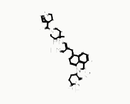 CC1(N/C=C(\C=N)Cc2ccc3c4c(cccc24)C(=O)N3C2CCC(=O)NC2=O)CCN(C(=O)C23CCN(CC2)C3)CC1